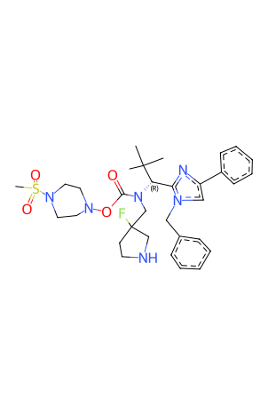 CC(C)(C)[C@H](c1nc(-c2ccccc2)cn1Cc1ccccc1)N(CC1(F)CCNC1)C(=O)ON1CCN(S(C)(=O)=O)CC1